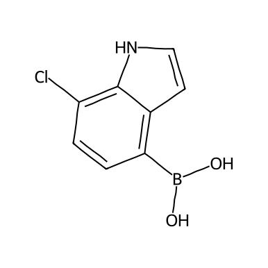 OB(O)c1ccc(Cl)c2[nH]ccc12